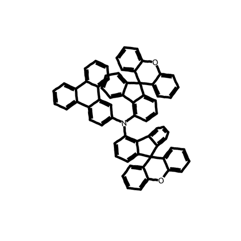 c1ccc2c(c1)Oc1ccccc1C21c2ccccc2-c2c(N(c3ccc4c5ccccc5c5ccccc5c4c3)c3cccc4c3-c3ccccc3C43c4ccccc4Oc4ccccc43)cccc21